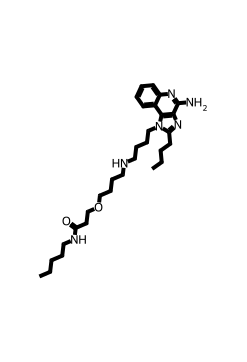 CCCCCNC(=O)CCOCCCCNCCCCn1c(CCCC)nc2c(N)nc3ccccc3c21